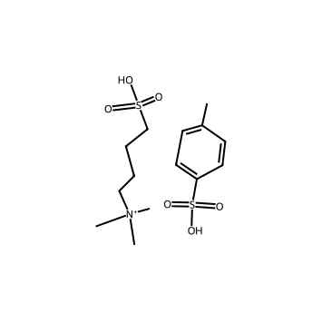 C[N+](C)(C)CCCCS(=O)(=O)O.Cc1ccc(S(=O)(=O)O)cc1